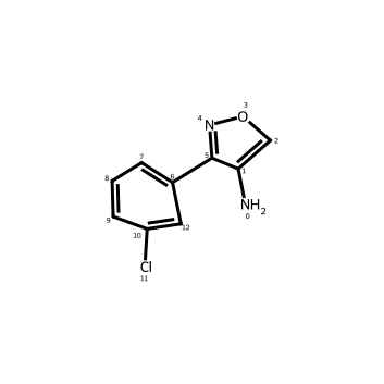 Nc1conc1-c1cccc(Cl)c1